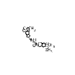 COc1cc2c(cc1OC)CCN(C(=O)CCNCC1Cc3cc(OC)c(OC)cc3C1)CC2